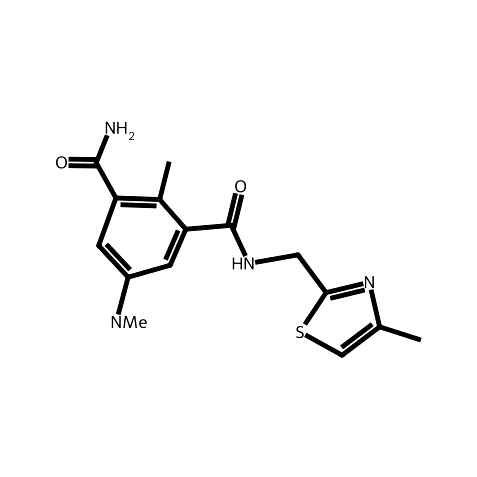 CNc1cc(C(N)=O)c(C)c(C(=O)NCc2nc(C)cs2)c1